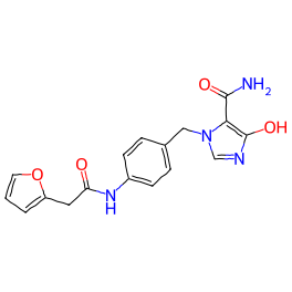 NC(=O)c1c(O)ncn1Cc1ccc(NC(=O)Cc2ccco2)cc1